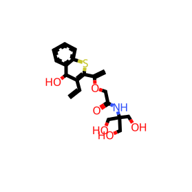 C=CC1=C(C(=C)OCC(=O)NC(CO)(CO)CO)Sc2ccccc2C1O